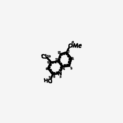 COc1ccc2nc(O)cc(Cl)c2c1